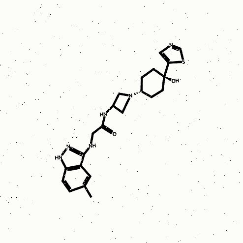 Cc1ccc2[nH]nc(NCC(=O)NC3CN([C@H]4CC[C@@](O)(c5cncs5)CC4)C3)c2c1